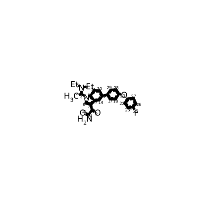 CCN(CC)C(C)n1cc(C(=O)C(N)=O)c2cc(-c3ccc(Oc4ccc(F)cc4)cc3)ccc21